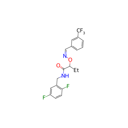 CCC(O/N=C\c1cccc(C(F)(F)F)c1)C(=O)NCc1cc(F)ccc1F